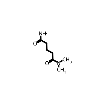 CN(C)C(=O)CCCC([NH])=O